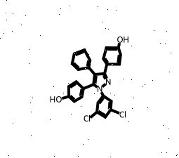 Oc1ccc(-c2nn(-c3cc(Cl)cc(Cl)c3)c(-c3ccc(O)cc3)c2-c2ccccc2)cc1